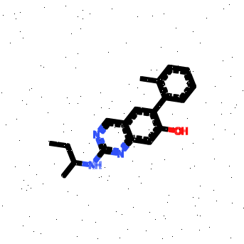 CCC(C)Nc1ncc2cc(-c3ccccc3C)c(O)cc2n1